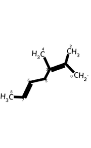 [CH2]C(C)=C(C)CC=CC